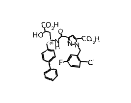 O=C(N[C@H](Cc1ccc(-c2ccccc2)cc1)CC(O)C(=O)O)c1cc(C(=O)O)n(Cc2cc(F)ccc2Cl)n1